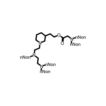 CCCCCCCCCN(CCCCCCCCC)CCN(CCCCCCCCC)CCN1CCCC(CCOC(=O)CN(CCCCCCCCC)CCCCCCCCC)C1